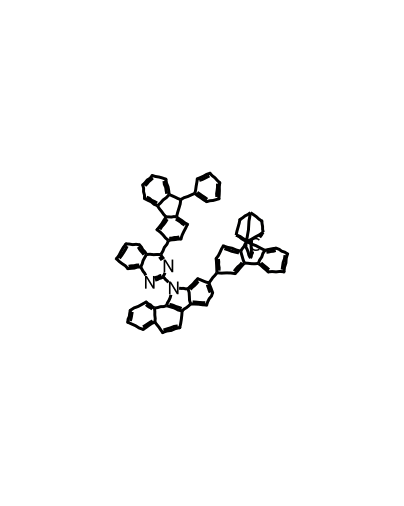 c1ccc(C2c3ccccc3-c3cc(-c4nc(-n5c6cc(-c7ccc8c(c7)-c7ccccc7C87C8CC9CC(C8)CC7C9)ccc6c6ccc7ccccc7c65)nc5ccccc45)ccc32)cc1